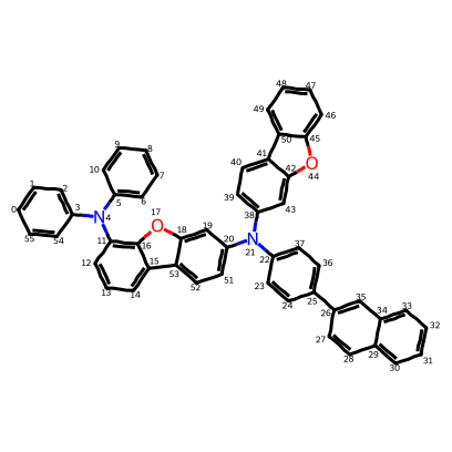 c1ccc(N(c2ccccc2)c2cccc3c2oc2cc(N(c4ccc(-c5ccc6ccccc6c5)cc4)c4ccc5c(c4)oc4ccccc45)ccc23)cc1